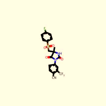 CC1(CS(=O)(=O)c2ccc(F)cc2)NC(=O)N(c2ccc(C#N)c(C(F)(F)F)c2)C1=O